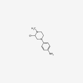 CN1CCN(c2ccc(N)cc2)CC1Cl